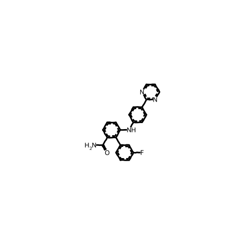 NC(=O)c1cccc(Nc2ccc(-c3ncccn3)cc2)c1-c1cccc(F)c1